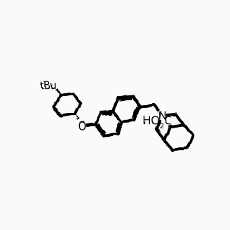 CC(C)(C)[C@H]1CC[C@H](Oc2ccc3cc(CN4CC5CCCC(C4)C5C(=O)O)ccc3c2)CC1